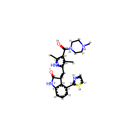 Cc1[nH]c(C=C2C(=O)Nc3cccc(-c4nccs4)c32)c(C)c1C(=O)N1CCN(C)CC1